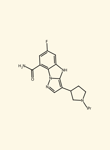 CC(C)N1CCC(c2cnn3c2[nH]c2cc(F)cc(C(N)=O)c23)C1